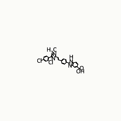 CCn1cc(-c2ccc(Cl)cc2Cl)nc1/C=C/c1ccc(-c2nc3cc(C(=O)O)ccc3[nH]2)cc1